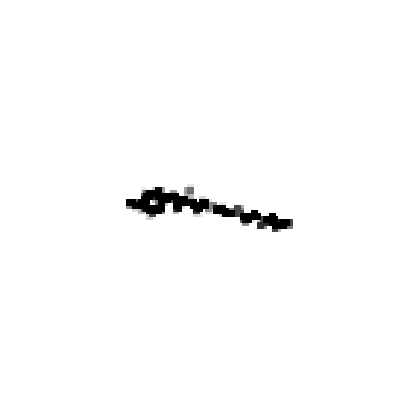 CCCOCCOCCOCCNC(=O)OC1CCC(SC)CC1